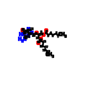 CCCCCCC(=O)OCC(COC(=O)CCCCCC)OCn1cnc2c(=O)[nH]c(N)nc21